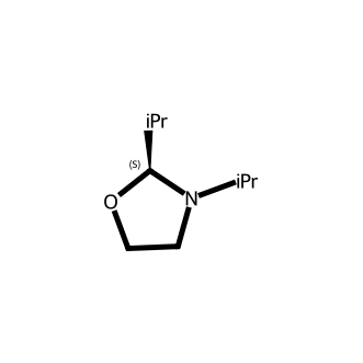 CC(C)[C@@H]1OCCN1C(C)C